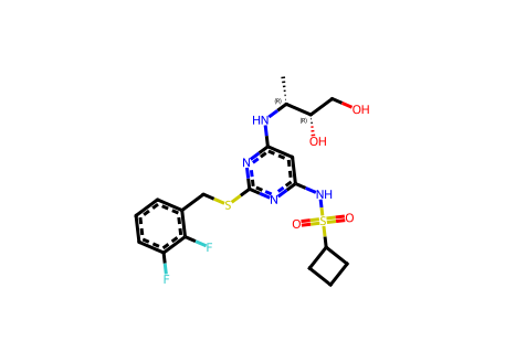 C[C@@H](Nc1cc(NS(=O)(=O)C2CCC2)nc(SCc2cccc(F)c2F)n1)[C@@H](O)CO